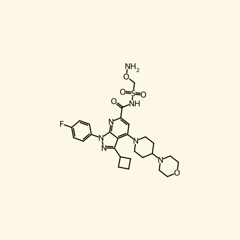 NOCS(=O)(=O)NC(=O)c1cc(N2CCC(N3CCOCC3)CC2)c2c(C3CCC3)nn(-c3ccc(F)cc3)c2n1